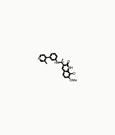 COc1ccc2cc([C@H](C)Nc3cccc(-c4ccncc4C)c3)c(=O)[nH]c2c1Cl